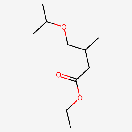 CCOC(=O)CC(C)COC(C)C